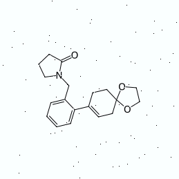 O=C1CCCN1Cc1ccccc1C1=CCC2(CC1)OCCO2